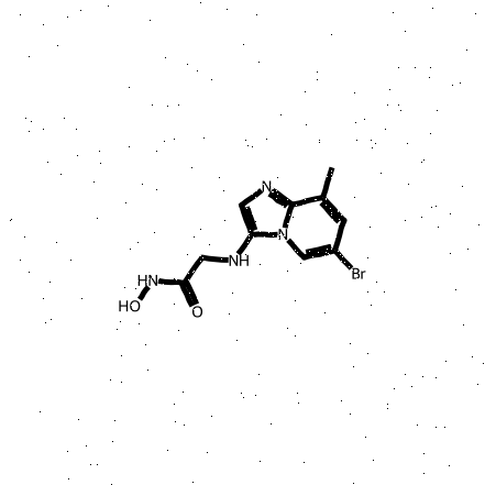 Cc1cc(Br)cn2c(NCC(=O)NO)cnc12